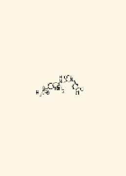 CS(=O)(=O)c1ccc(CC(=O)NCC2CN(Cc3ccc(Cl)c(Cl)c3)CCO2)c(N)c1